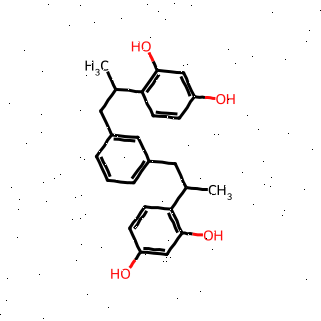 CC(Cc1cccc(CC(C)c2ccc(O)cc2O)c1)c1ccc(O)cc1O